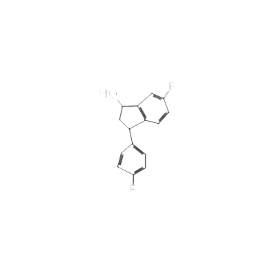 OC1CC(c2ccc(F)cc2)c2ccc(F)cc21